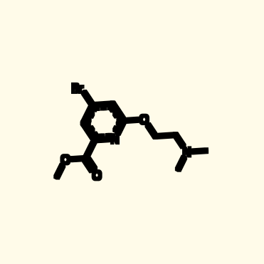 COC(=O)c1cc(Br)cc(OCCN(C)C)n1